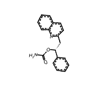 NC(=O)O[C@H](Cc1ccc2ccccc2n1)c1ccccc1